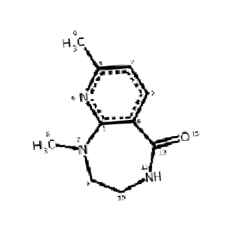 Cc1ccc2c(n1)N(C)CCNC2=O